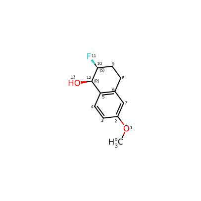 COc1ccc2c(c1)CC[C@H](F)[C@@H]2O